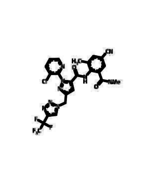 CNC(=O)c1cc(C#N)cc(C)c1NC(=O)c1cc(Cn2cc(C(F)(F)C(F)(F)F)nn2)nn1-c1ncccc1Cl